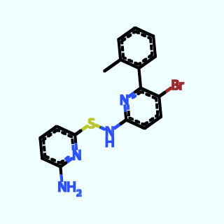 Cc1ccccc1-c1nc(NSc2cccc(N)n2)ccc1Br